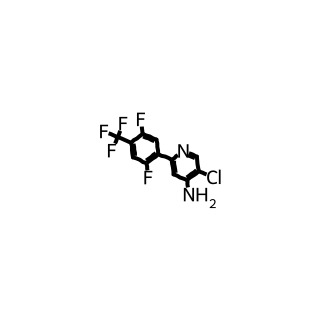 Nc1cc(-c2cc(F)c(C(F)(F)F)cc2F)ncc1Cl